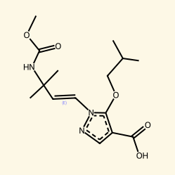 COC(=O)NC(C)(C)/C=C/n1ncc(C(=O)O)c1OCC(C)C